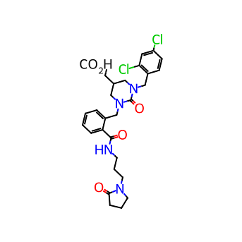 O=C(O)CC1CN(Cc2ccc(Cl)cc2Cl)C(=O)N(Cc2ccccc2C(=O)NCCCN2CCCC2=O)C1